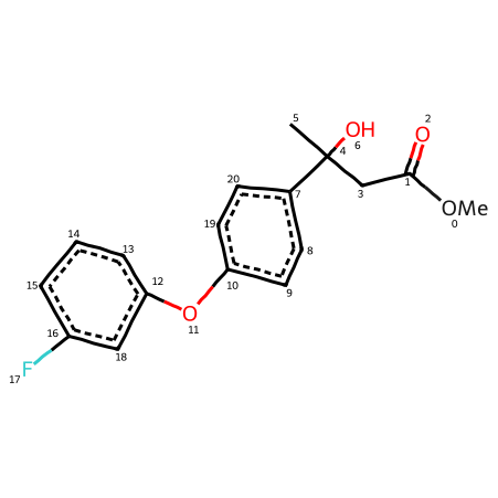 COC(=O)CC(C)(O)c1ccc(Oc2cccc(F)c2)cc1